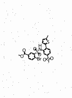 COC(=O)c1ccc(Br)c(S(=O)(=O)Nc2cc(S(C)(=O)=O)ccc2-c2ccc(C)s2)c1